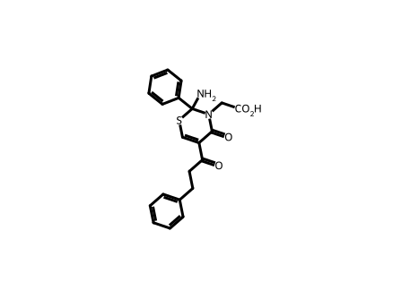 NC1(c2ccccc2)SC=C(C(=O)CCc2ccccc2)C(=O)N1CC(=O)O